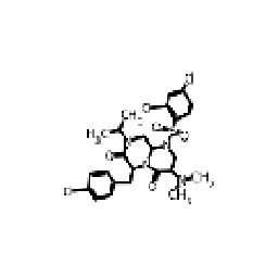 CC(C)N1CC2N(C(=O)C(N(C)C)CN2S(=O)(=O)c2ccc(Cl)cc2Cl)C(Cc2ccc(Cl)cc2)C1=O